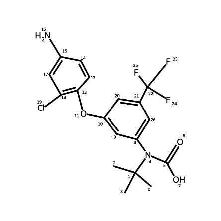 CC(C)(C)N(C(=O)O)c1cc(Oc2ccc(N)cc2Cl)cc(C(F)(F)F)c1